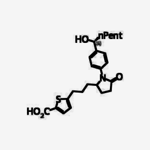 CCCCC[C@H](O)c1ccc(N2C(=O)CCC2CCCc2ccc(C(=O)O)s2)cc1